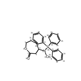 CN(C1CCCOC(=O)C1)[Si](c1ccccc1)(c1ccccc1)c1ccccc1